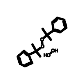 CC(C)(OOC(C)(C)c1ccccc1)c1ccccc1.OO